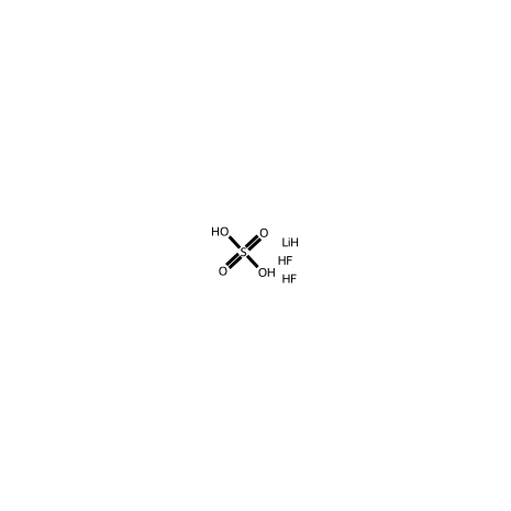 F.F.O=S(=O)(O)O.[LiH]